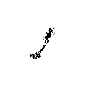 CCc1cc2c(cc1N1CCN(CCCOCCCSc3cccc4c3C(=O)N(C3CCC(=O)NC3=O)C4=O)CC1)C(C)(C)c1[nH]c3cc(C#N)ccc3c1C2=O